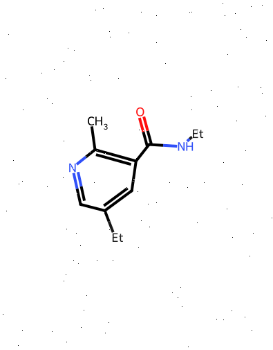 CCNC(=O)c1cc(CC)cnc1C